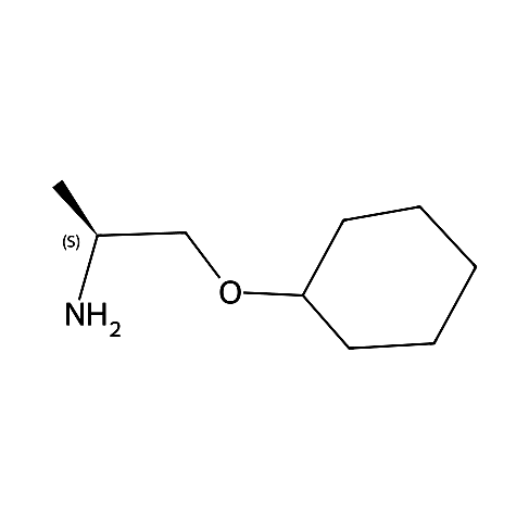 C[C@H](N)COC1CCCCC1